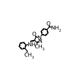 CCc1ccccc1NC=C1C(=O)N(c2ccc(C(N)=O)cc2)N=C1C